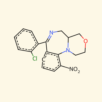 O=[N+]([O-])c1cccc2c1N1CCOCC1CN=C2c1ccccc1Cl